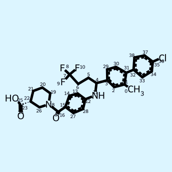 Cc1cc(C(CCC(F)(F)F)Nc2ccc(C(=O)N3CCC[C@@H](C(=O)O)C3)cc2)ccc1-c1ccc(Cl)cc1